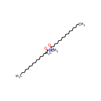 C=C.CCCCCCCCCCCCCCCC(=O)NC(=O)CCCCCCCCCCCCCCC